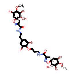 COC1=C(Br)[C@@H](O)[C@]2(C=C1Br)CC(C(=O)NCCc1cc(Br)c(OCCCNC(=O)C3=NO[C@]4(C=C(Br)C(OC)=C(Br)[C@@H]4O)C3)c(Br)c1)=NO2